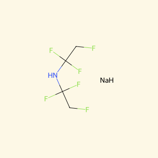 FCC(F)(F)NC(F)(F)CF.[NaH]